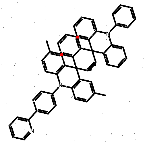 Cc1ccc2c(c1)C1(c3cc(C)ccc3N2c2ccc(-c3ccccn3)cc2)c2ccccc2C2(c3ccccc3N(c3ccccc3)c3ccccc32)c2ccccc21